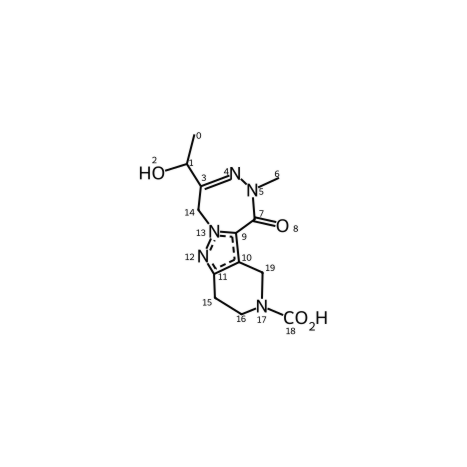 CC(O)C1=NN(C)C(=O)c2c3c(nn2C1)CCN(C(=O)O)C3